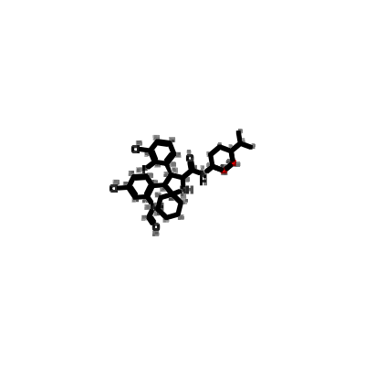 CC(C)C12CCC(NC(=O)C3NC4(CCCCC4)C(c4ccc(Cl)cc4NC=O)[C@H]3c3cccc(Cl)c3F)(CC1)CC2